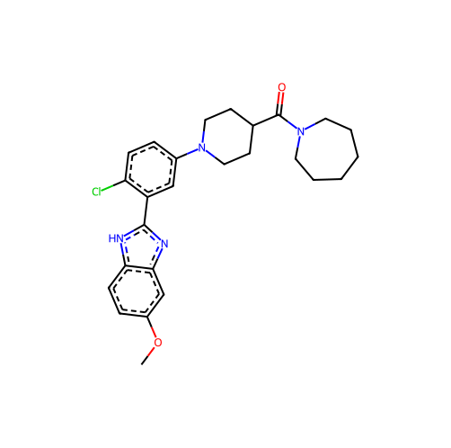 COc1ccc2[nH]c(-c3cc(N4CCC(C(=O)N5CCCCCC5)CC4)ccc3Cl)nc2c1